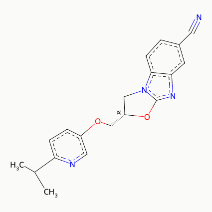 CC(C)c1ccc(OC[C@@H]2Cn3c(nc4cc(C#N)ccc43)O2)cn1